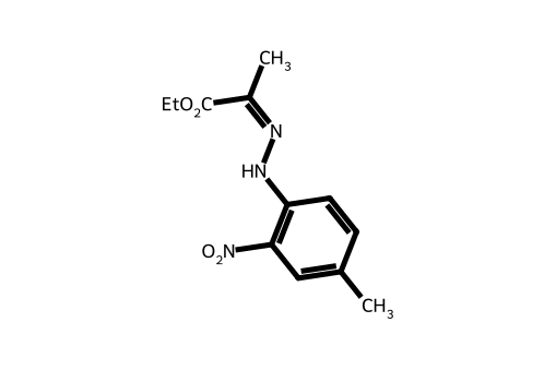 CCOC(=O)/C(C)=N\Nc1ccc(C)cc1[N+](=O)[O-]